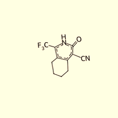 N#Cc1c2c(c(C(F)(F)F)[nH]c1=O)CCCC2